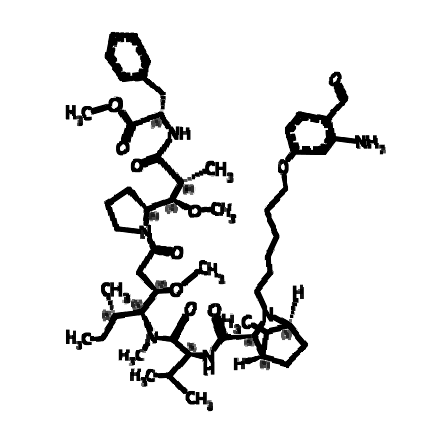 CC[C@H](C)[C@@H]([C@@H](CC(=O)N1CCC[C@H]1[C@H](OC)[C@@H](C)C(=O)N[C@@H](Cc1ccccc1)C(=O)OC)OC)N(C)C(=O)[C@@H](NC(=O)[C@@H]1[C@H]2CC[C@@H](C2C)N1CCCCCCOc1ccc(C=O)c(N)c1)C(C)C